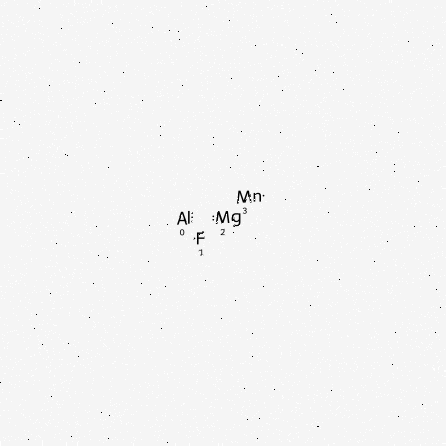 [Al].[F].[Mg].[Mn]